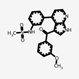 COc1cccc(C(=O)c2c[nH]c3nccc(-c4cccc(NS(C)(=O)=O)c4)c23)c1